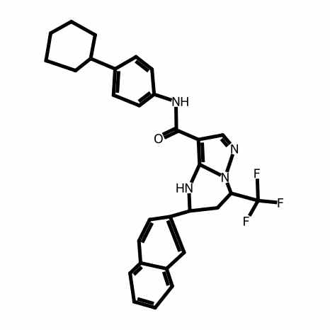 O=C(Nc1ccc(C2CCCCC2)cc1)c1cnn2c1NC(c1ccc3ccccc3c1)CC2C(F)(F)F